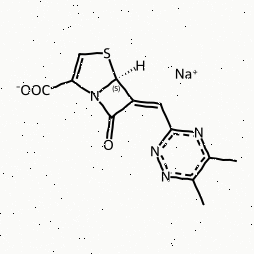 Cc1nnc(C=C2C(=O)N3C(C(=O)[O-])=CS[C@@H]23)nc1C.[Na+]